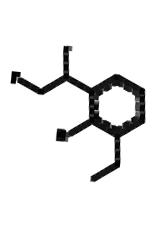 [CH2]C(CF)c1cccc(CC)c1Br